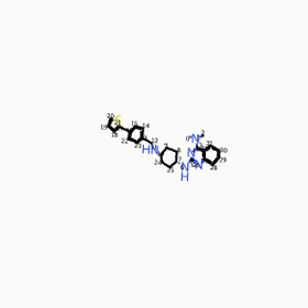 CN(C)c1nc(N[C@H]2CC[C@@H](NCc3ccc(-c4cccs4)cc3)CC2)nc2ccccc12